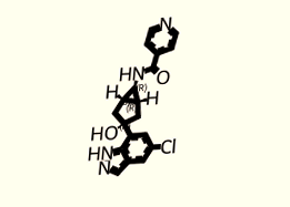 O=C(N[C@H]1[C@@H]2C[C@@](O)(c3cc(Cl)cc4cn[nH]c34)C[C@@H]21)c1ccncc1